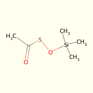 CC(=O)SO[Si](C)(C)C